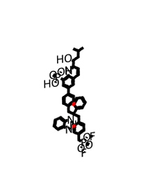 CC(C)CC(O)c1ccc2cc(-c3ccc(CC(Cc4ccc(CP(=O)(OF)OF)cc4)(c4ccccc4)n4nnc5ccccc54)cc3)cc(P(=O)(O)O)c2n1